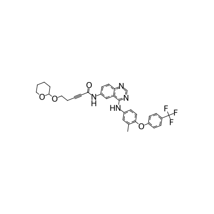 Cc1cc(Nc2ncnc3ccc(NC(=O)C#CCCOC4CCCCO4)cc23)ccc1Oc1ccc(C(F)(F)F)cc1